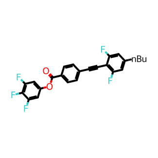 CCCCc1cc(F)c(C#Cc2ccc(C(=O)Oc3cc(F)c(F)c(F)c3)cc2)c(F)c1